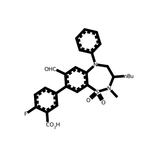 CCCCC1CN(c2ccccc2)c2cc(C=O)c(-c3ccc(F)c(C(=O)O)c3)cc2S(=O)(=O)N1C